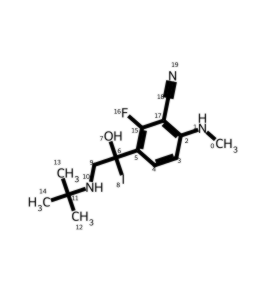 CNc1ccc(C(O)(I)CNC(C)(C)C)c(F)c1C#N